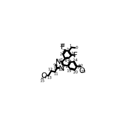 CCc1c(F)cc(-c2ncc(CCCOC)nc2-c2ccc(C=O)cc2)cc1F